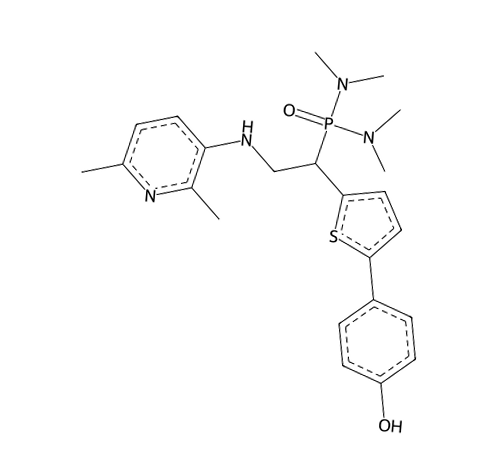 Cc1ccc(NCC(c2ccc(-c3ccc(O)cc3)s2)P(=O)(N(C)C)N(C)C)c(C)n1